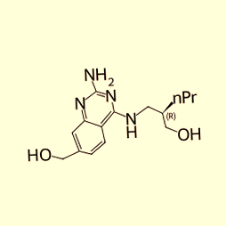 CCC[C@@H](CO)CNc1nc(N)nc2cc(CO)ccc12